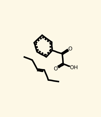 CCC=CCC.O=C(O)C(=O)c1ccccc1